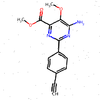 C#Cc1ccc(-c2nc(N)c(OC)c(C(=O)OC)n2)cc1